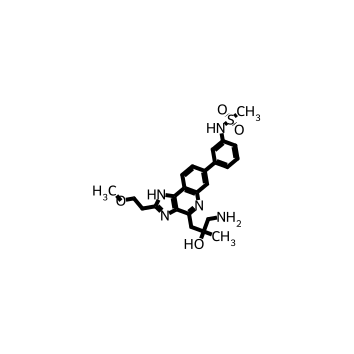 COCCc1nc2c(CC(C)(O)CN)nc3cc(-c4cccc(NS(C)(=O)=O)c4)ccc3c2[nH]1